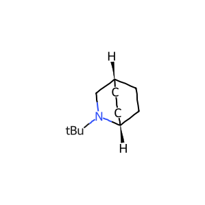 CC(C)(C)N1C[C@H]2CC[C@@H]1CC2